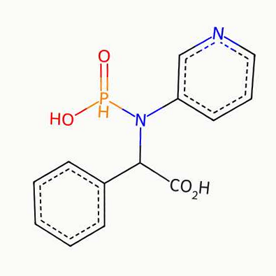 O=C(O)C(c1ccccc1)N(c1cccnc1)[PH](=O)O